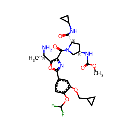 COC(=O)N[C@@H]1C[C@@H](C(=O)NC2CC2)N(C(=O)c2nc(-c3ccc(OC(F)F)c(OCC4CC4)c3)oc2[C@H](C)N)C1